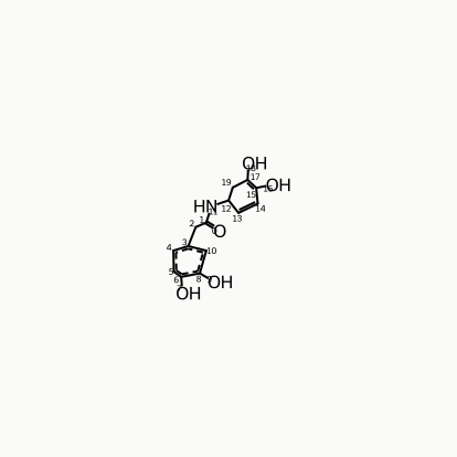 O=C(Cc1ccc(O)c(O)c1)NC1C=CC(O)=C(O)C1